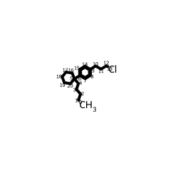 CCCCCC1(c2ccc(CCCCl)cc2)CCCCC1